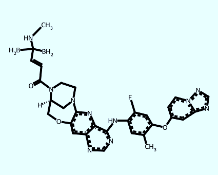 BC(B)(/C=C/C(=O)N1CCN2C[C@H]1COc1cc3ncnc(Nc4cc(C)c(Oc5ccn6ncnc6c5)cc4F)c3nc12)NC